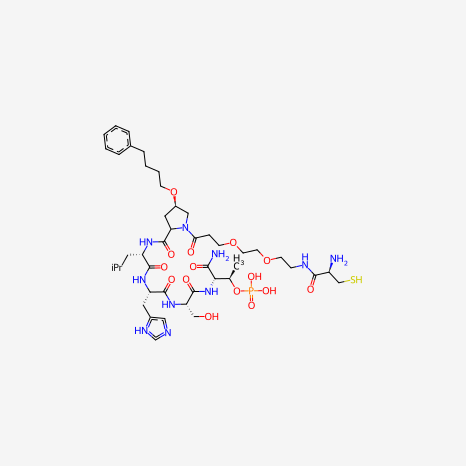 CC(C)C[C@H](NC(=O)C1C[C@@H](OCCCCc2ccccc2)CN1C(=O)CCOCCOCCNC(=O)[C@@H](N)CS)C(=O)N[C@@H](Cc1cnc[nH]1)C(=O)N[C@@H](CO)C(=O)N[C@H](C(N)=O)[C@@H](C)OP(=O)(O)O